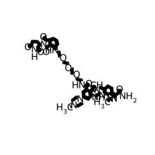 COc1c(Nc2ncc3c(n2)-c2c(c(C(N)=O)nn2C)CC3)cc(N2CCN(C)CC2)cc1C(=O)NCCOCCOCCOCCNc1cccc2c1C(=O)N(C1CCC(=O)NC1=O)C2=O